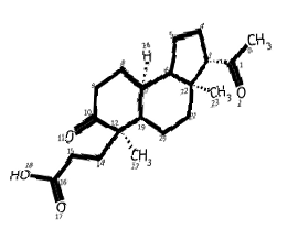 CC(=O)[C@H]1CCC2[C@@H]3CCC(=O)[C@](C)(CCC(=O)O)C3CC[C@@]21C